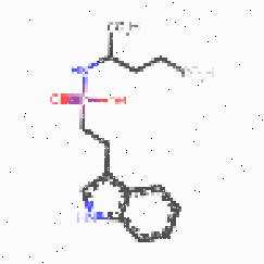 O=C(O)CCC(NP(=O)(O)CCc1c[nH]c2ccccc12)C(=O)O